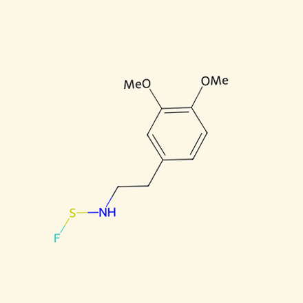 COc1ccc(CCNSF)cc1OC